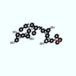 Cc1ccc(-c2ccccc2)cc1N(c1ccc2c3cc(C(C)(C)C)cc4c5cc6c(cc5n(c2c1)c34)c1cc(C(C)(C)C)cc2c3cc(C(C)(C)C)ccc3n6c21)c1cccc2c1oc1c(-c3ccccc3)cc(CC(C)(C)c3ccc4c(c3)c3cc(C(C)(C)C)cc5c6cc7c(cc6n4c35)c3c4n7-c5cc(N(c6ccccc6)c6ccccc6-c6ccccc6)ccc5C4CC(C(C)(C)C)=C3)cc12